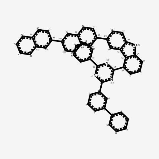 c1ccc(-c2cccc(-c3nc(-c4ccccc4)nc(-c4cccc5oc6ccc(-c7ccc8cc(-c9ccc%10ccccc%10c9)ccc8c7)cc6c45)n3)c2)cc1